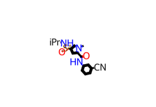 CC(C)N[S+]([O-])c1cc(C(=O)Nc2cccc(C#N)c2)n(C)c1